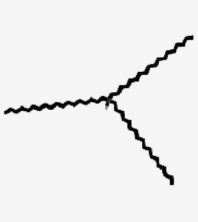 CCCCCCCCCCCCCCCCCC[Si](I)(CCCCCCCCCCCCCCCCCC)CCCCCCCCCCCCCCCCCC